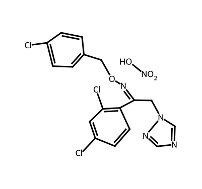 Clc1ccc(CON=C(Cn2cncn2)c2ccc(Cl)cc2Cl)cc1.O=[N+]([O-])O